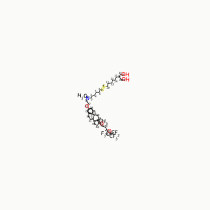 CN(CCCCCCSSCCCCCCC(CO)CO)CCOc1ccc2c(c1)CCC1C2CCC2(C)C(OCCCOC(C(F)(F)F)(C(F)(F)F)C(F)(F)F)CCC12